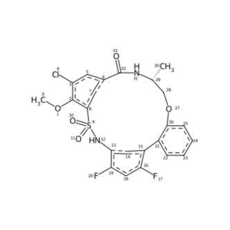 COc1c(Cl)cc2cc1S(=O)(=O)Nc1cc(c(F)cc1F)-c1ccccc1OC[C@@H](C)NC2=O